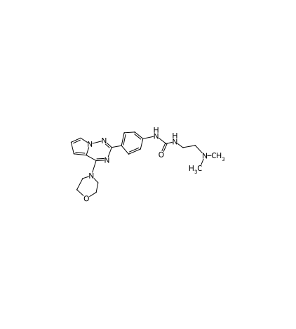 CN(C)CCNC(=O)Nc1ccc(-c2nc(N3CCOCC3)c3cccn3n2)cc1